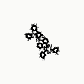 O=P1(c2ccccc2)c2cc(-c3nc(-c4ccccc4)nc(-c4ccccc4)n3)ccc2Sc2cc3c4ccccc4n(-c4ccccc4)c3cc21